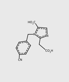 N#Cc1ccc(Cn2c(C(=O)O)cnc2CC(=O)O)cc1